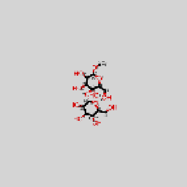 CC(C)O[C@H]1OC(CO)[C@@](O)(O[C@@H]2OC(CO)[C@H](O)C(O)C2O)C(O)C1O